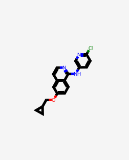 Clc1ccc(Nc2nccc3cc(OCC4CC4)ccc23)cn1